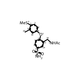 CSc1ccc(Oc2ccc(S(N)(=O)=O)cc2CNC(C)=O)cc1C